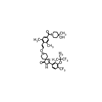 Cc1cc(C(=O)N2CCC(C)(O)CC2)cc(C)c1/C=C/ON1CCC2(CC1)N=C(c1ccc(C(F)(F)F)c(OC(C)(C)C(F)(F)F)c1)NC2=O